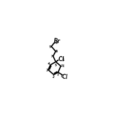 ClC1=CC=CC(Cl)(CCCBr)C1